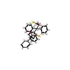 C1=CCC(c2ccc3c(c2)Sc2ccccc2C32c3ccccc3Sc3cccc(-c4ccccc4)c32)C=C1